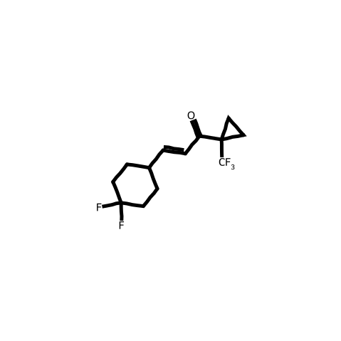 O=C(C=CC1CCC(F)(F)CC1)C1(C(F)(F)F)CC1